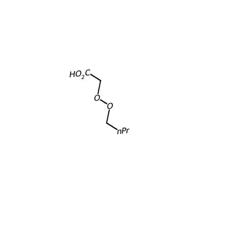 CCCCOOCC(=O)O